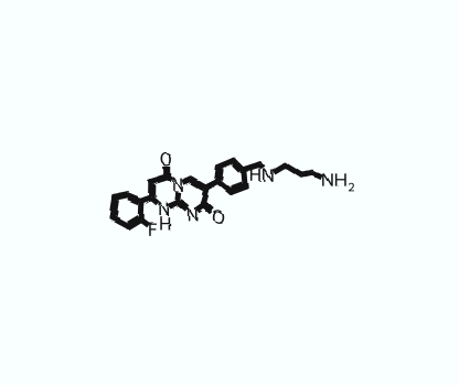 NCCCNCc1ccc(-c2cn3c(=O)cc(-c4ccccc4F)[nH]c3nc2=O)cc1